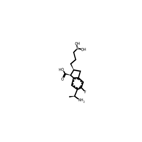 C[C@H](N)c1cc2c(cc1F)C[C@H](CCCB(O)O)[C@@H]2C(=O)O